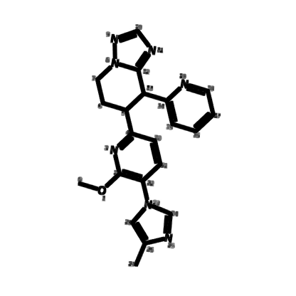 COc1nc(C2CCn3ncnc3C2c2ccccn2)ccc1-n1cnc(C)c1